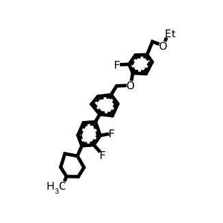 CCOCc1ccc(OCc2ccc(-c3ccc(C4CCC(C)CC4)c(F)c3F)cc2)c(F)c1